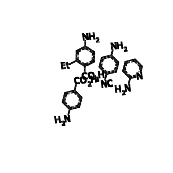 CCc1cc(N)ccc1C(=O)O.N#Cc1ccc(N)cc1.Nc1ccc(C(=O)O)cc1.Nc1ccccn1